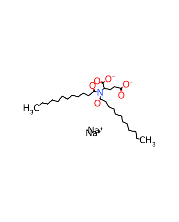 CCCCCCCCCCCC(=O)N(C(=O)CCCCCCCCCCC)C(CCC(=O)[O-])C(=O)[O-].[Na+].[Na+]